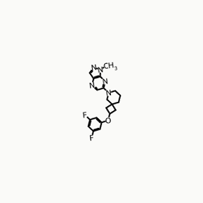 Cn1ncc2ncc(N3CCCC4(CC(Oc5cc(F)cc(F)c5)C4)C3)nc21